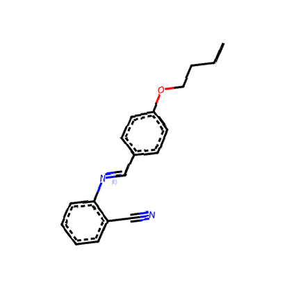 CCCCOc1ccc(/C=N/c2ccccc2C#N)cc1